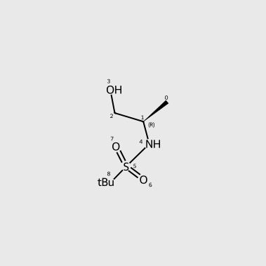 C[C@H](CO)NS(=O)(=O)C(C)(C)C